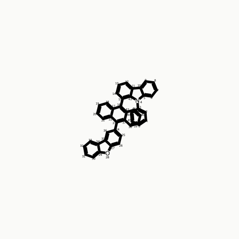 c1ccc(-n2c3ccccc3c3cccc(-c4c5ccccc5c(-c5ccc6oc7ccccc7c6c5)c5ccccc45)c32)cc1